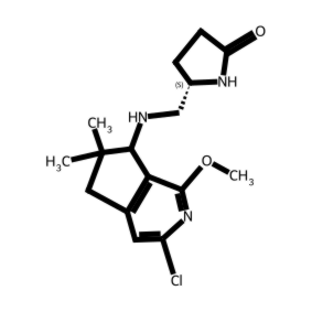 COc1nc(Cl)cc2c1C(NC[C@@H]1CCC(=O)N1)C(C)(C)C2